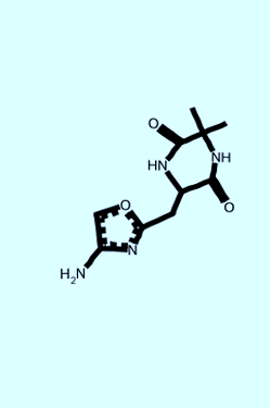 CC1(C)NC(=O)C(Cc2nc(N)co2)NC1=O